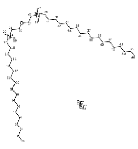 CCCCCCCCCCCCCCCCCC[N+](C)(C)CCOCC[N+](C)(C)CCCCCCCCCCCCCCCCCC.[Br-].[Br-]